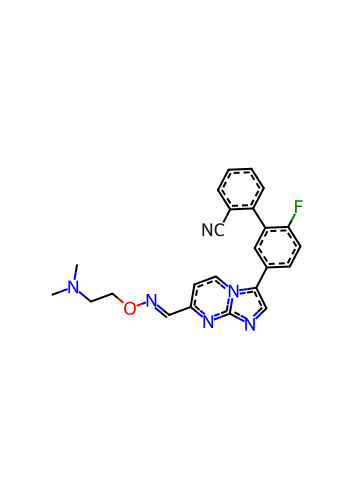 CN(C)CCO/N=C/c1ccn2c(-c3ccc(F)c(-c4ccccc4C#N)c3)cnc2n1